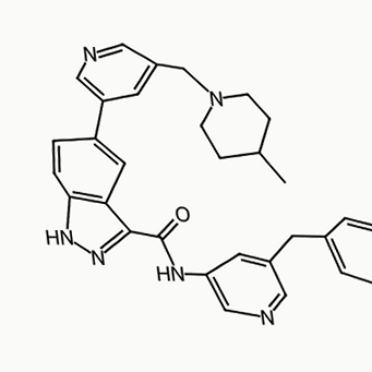 CC1CCN(Cc2cncc(-c3ccc4[nH]nc(C(=O)Nc5cncc(Cc6ccccc6)c5)c4c3)c2)CC1